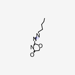 CCCCC/N=N/C1=NC(=O)CO1